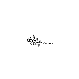 CCCCCCCCOCC(=O)[C@]1(O)Cc2c(O)c3c(c(O)c2C(Br)C1)C(=O)c1ccccc1C3=O